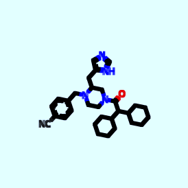 N#Cc1ccc(CN2CCN(C(=O)C(C3CCCCC3)C3CCCCC3)CC2Cc2cnc[nH]2)cc1